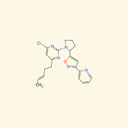 CC=CCCc1cc(Cl)nc(N2CCCC2c2cc(-c3ccccn3)no2)n1